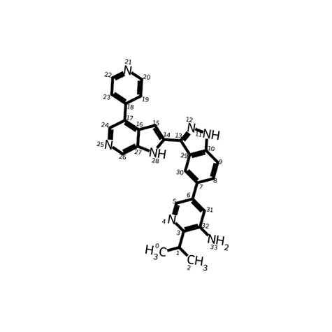 CC(C)c1ncc(-c2ccc3[nH]nc(-c4cc5c(-c6ccncc6)cncc5[nH]4)c3c2)cc1N